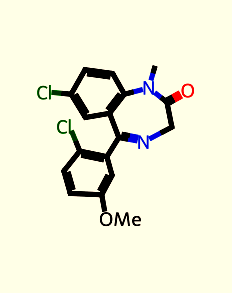 COc1ccc(Cl)c(C2=NCC(=O)N(C)c3ccc(Cl)cc32)c1